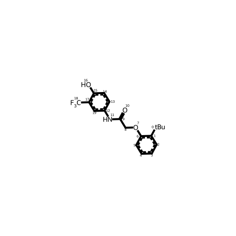 CC(C)(C)c1ccccc1OCC(=O)Nc1ccc(O)c(C(F)(F)F)c1